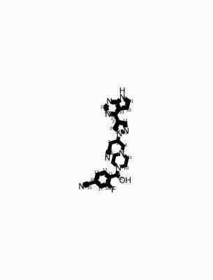 N#CCC(CN1CCN(C(O)c2ccc(C#N)cc2F)CC1)n1cc(-c2ncnc3[nH]ccc23)cn1